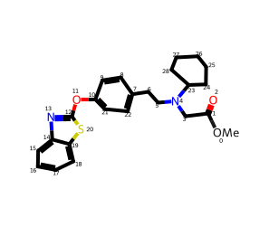 COC(=O)CN(CCc1ccc(Oc2nc3ccccc3s2)cc1)C1CCCCC1